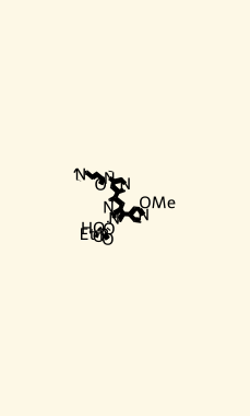 CCOP(=O)(O)OCn1cc(-c2ccnc(OC)c2)c2cc(-c3cncc(N(C)C(=O)/C=C/CN(C)C)c3)cnc21